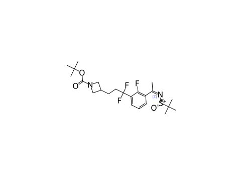 C/C(=N/[S@@+]([O-])C(C)(C)C)c1cccc(C(F)(F)CCC2CN(C(=O)OC(C)(C)C)C2)c1F